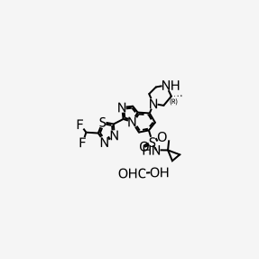 C[C@@H]1CN(c2cc(S(=O)(=O)NC3(C)CC3)cn3c(-c4nnc(C(F)F)s4)ncc23)CCN1.O=CO